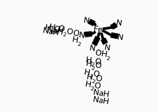 N#[C][Fe]([C]#N)([C]#N)([C]#N)([C]#N)[C]#N.O.O.O.O.O.O.O.O.O.O.[NaH].[NaH].[NaH].[NaH]